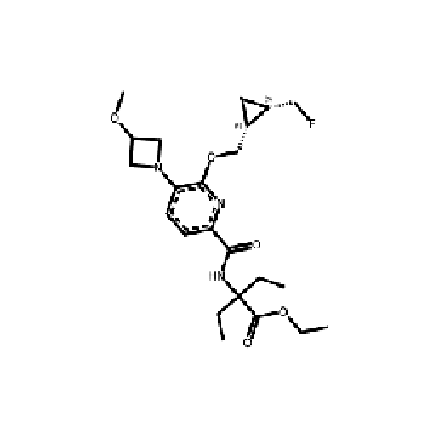 CCOC(=O)C(CC)(CC)NC(=O)c1ccc(N2CC(OC)C2)c(OC[C@@H]2C[C@@H]2CF)n1